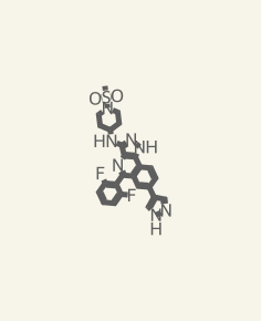 CS(=O)(=O)N1CCC(Nc2n[nH]c3c2nc(-c2c(F)cccc2F)c2cc(-c4cn[nH]c4)ccc23)CC1